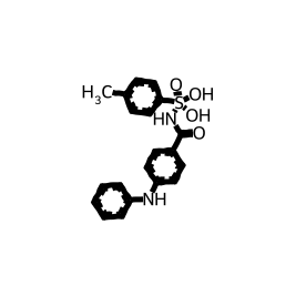 Cc1ccc(S(=O)(O)(O)NC(=O)c2ccc(Nc3ccccc3)cc2)cc1